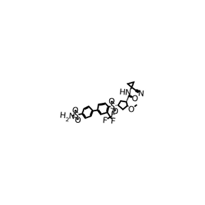 CO[C@@H]1C[C@H](S(=O)(=O)c2ccc(-c3ccc(S(N)(=O)=O)cc3)cc2C(F)(F)F)C[C@H]1C(=O)NC1(C#N)CC1